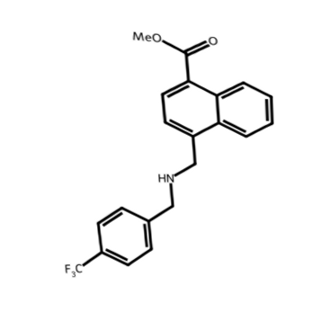 COC(=O)c1ccc(CNCc2ccc(C(F)(F)F)cc2)c2ccccc12